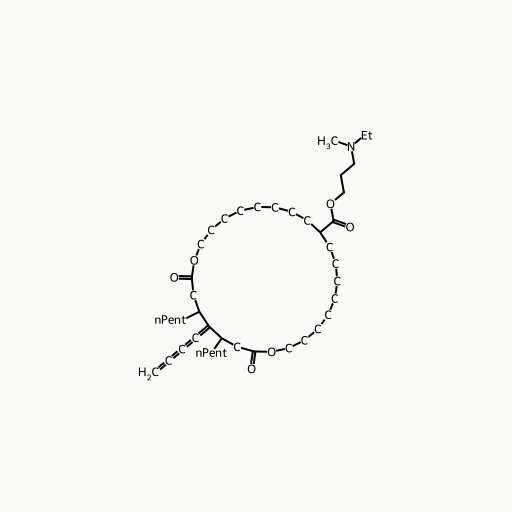 C=C=C=C=C1C(CCCCC)CC(=O)OCCCCCCCCC(C(=O)OCCCN(C)CC)CCCCCCCCOC(=O)CC1CCCCC